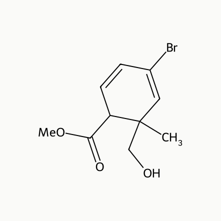 COC(=O)C1C=CC(Br)=CC1(C)CO